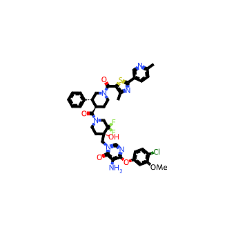 COc1cc(Oc2ncn(C[C@@]3(O)CCN(C(=O)[C@@H]4CCN(C(=O)c5sc(-c6ccc(C)nc6)nc5C)C[C@H]4c4ccccc4)CC3(F)F)c(=O)c2N)ccc1Cl